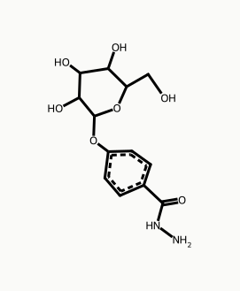 NNC(=O)c1ccc(OC2OC(CO)C(O)C(O)C2O)cc1